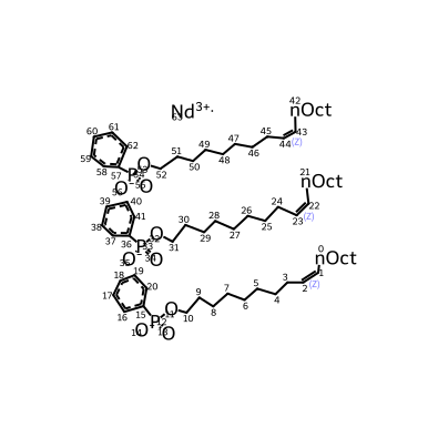 CCCCCCCC/C=C\CCCCCCCCOP(=O)([O-])c1ccccc1.CCCCCCCC/C=C\CCCCCCCCOP(=O)([O-])c1ccccc1.CCCCCCCC/C=C\CCCCCCCCOP(=O)([O-])c1ccccc1.[Nd+3]